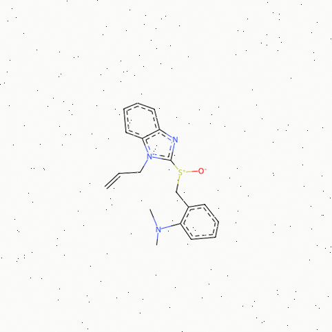 C=CCn1c([S+]([O-])Cc2ccccc2N(C)C)nc2ccccc21